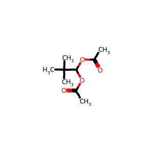 CC(=O)OC(OC(C)=O)C(C)(C)C